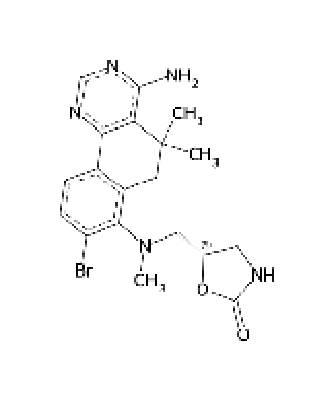 CN(C[C@@H]1CNC(=O)O1)c1c(Br)ccc2c1CC(C)(C)c1c(N)ncnc1-2